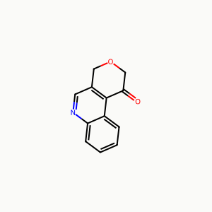 O=C1COCc2cnc3ccccc3c21